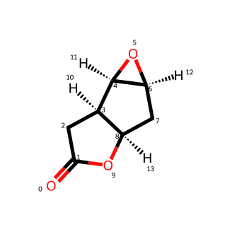 O=C1C[C@H]2[C@H]3O[C@H]3C[C@H]2O1